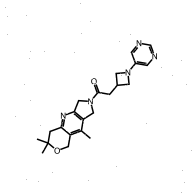 Cc1c2c(nc3c1CN(C(=O)CC1CN(c4cncnc4)C1)C3)CC(C)(C)OC2